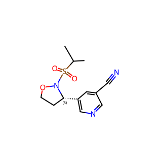 CC(C)S(=O)(=O)N1OCC[C@H]1c1cncc(C#N)c1